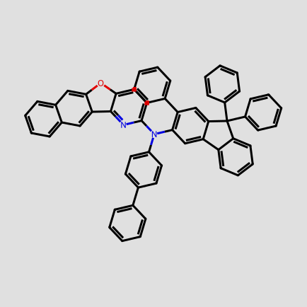 c1ccc(-c2ccc(N(c3ccc4oc5cc6ccccc6cc5c4n3)c3cc4c(cc3-c3ccccc3)C(c3ccccc3)(c3ccccc3)c3ccccc3-4)cc2)cc1